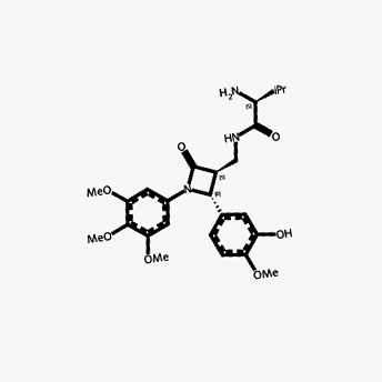 COc1ccc([C@H]2[C@H](CNC(=O)[C@@H](N)C(C)C)C(=O)N2c2cc(OC)c(OC)c(OC)c2)cc1O